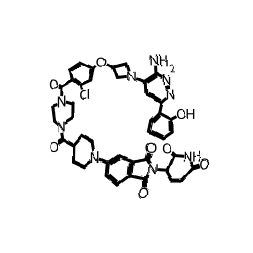 Nc1nnc(-c2ccccc2O)cc1N1CC(Oc2ccc(C(=O)N3CCN(C(=O)C4CCN(c5ccc6c(c5)C(=O)N(C5CCC(=O)NC5=O)C6=O)CC4)CC3)c(Cl)c2)C1